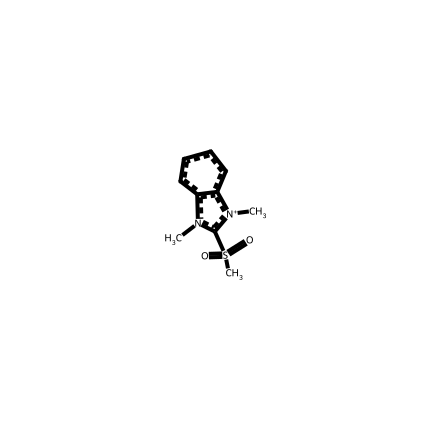 Cn1c(S(C)(=O)=O)[n+](C)c2ccccc21